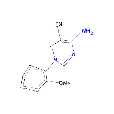 COc1ccccc1N1C=NC(N)=C(C#N)C1